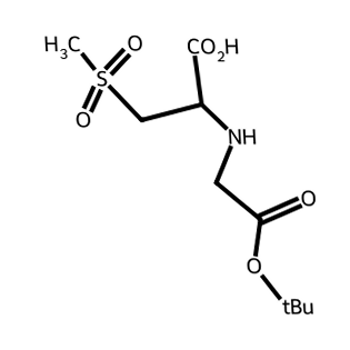 CC(C)(C)OC(=O)CNC(CS(C)(=O)=O)C(=O)O